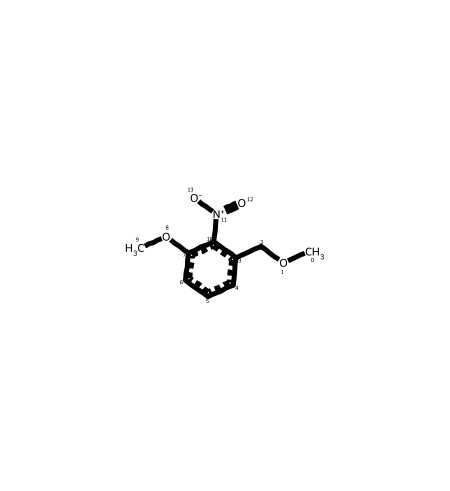 COCc1cccc(OC)c1[N+](=O)[O-]